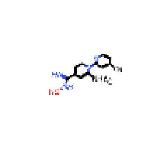 CC(=O)NC1=CC(C(=N)NO)=CCN1c1cc(C#N)ccn1